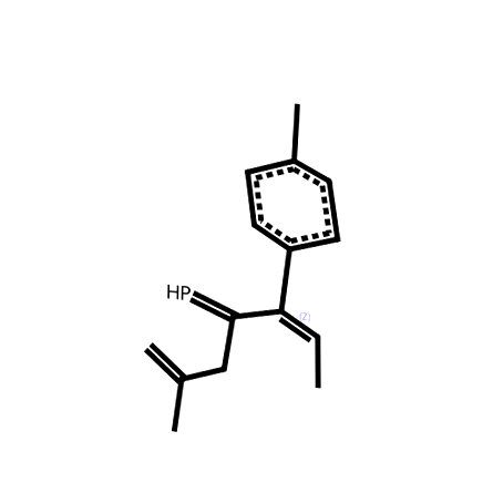 C=C(C)CC(=P)/C(=C\C)c1ccc(C)cc1